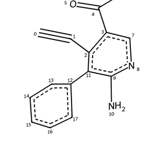 C#Cc1c(C(=O)O)cnc(N)c1-c1ccccc1